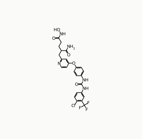 NC(=O)C(CCC(=O)NO)Cc1cc(Oc2ccc(NC(=O)Nc3ccc(Cl)c(C(F)(F)F)c3)cc2)ccn1